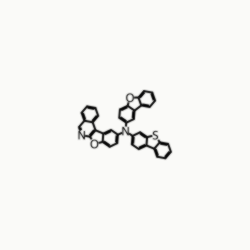 c1ccc2c(c1)cnc1oc3ccc(N(c4ccc5c(c4)sc4ccccc45)c4ccc5oc6ccccc6c5c4)cc3c12